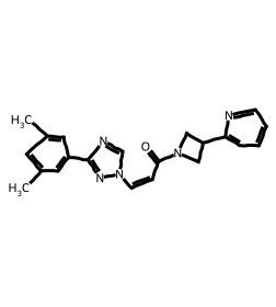 Cc1cc(C)cc(-c2ncn(/C=C\C(=O)N3CC(c4ccccn4)C3)n2)c1